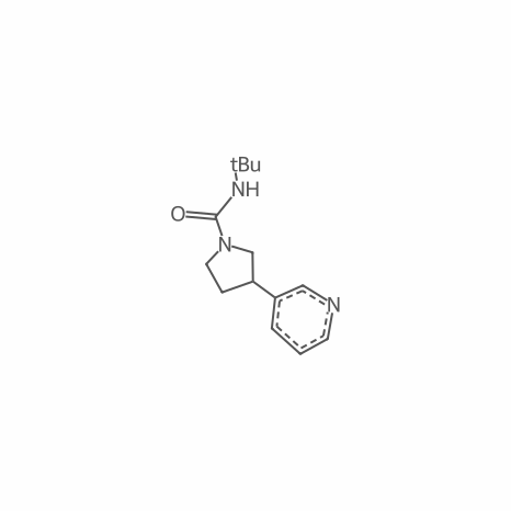 CC(C)(C)NC(=O)N1CCC(c2cccnc2)C1